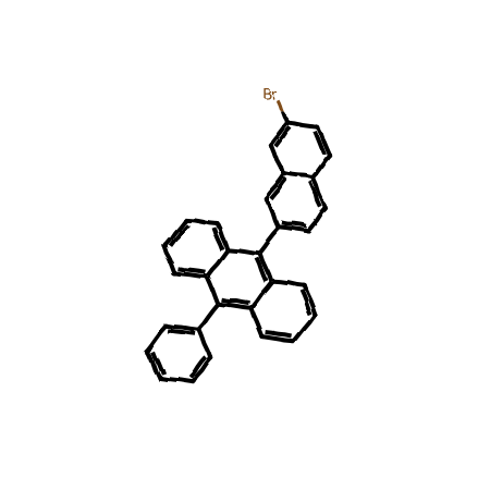 Brc1ccc2ccc(-c3c4ccccc4c(-c4ccccc4)c4ccccc34)cc2c1